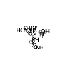 CCNC(=O)Oc1cc(C(=O)CNC(=O)c2cc3c(s2)CCNC3)ccc1OCC(=O)O.O=C(O)C(F)(F)F